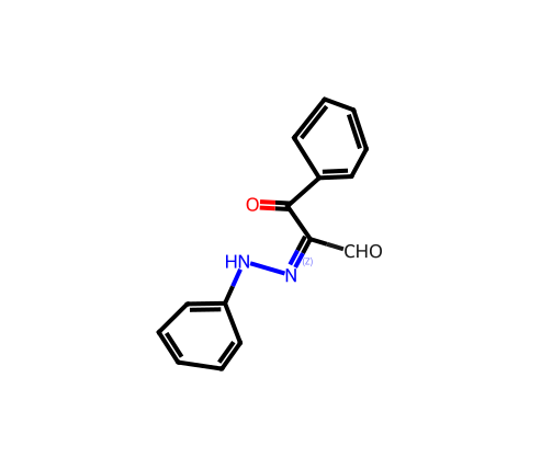 O=C/C(=N/Nc1ccccc1)C(=O)c1ccccc1